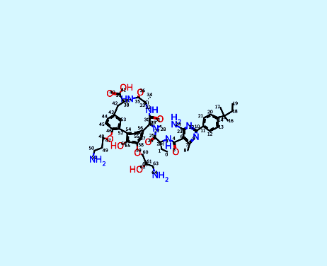 CC[C@H](NC(=O)c1c(C)nc(-c2ccc(C(C)(C)CC)cc2)nc1N)C(=O)N(C)[C@@H]1C(=O)N[C@@H](C)C(=O)N[C@H](C(=O)O)Cc2ccc(OCCCN)c(c2)-c2cc1cc(OC[C@H](O)CN)c2O